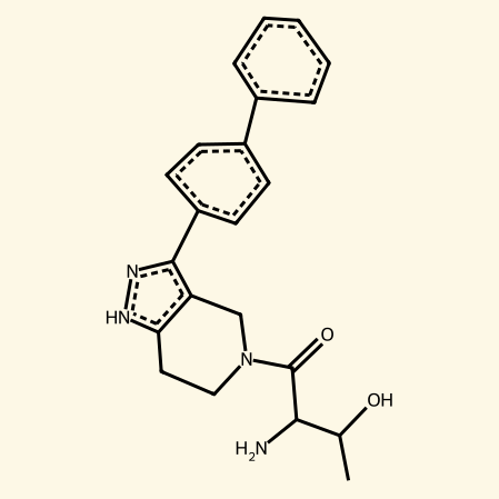 CC(O)C(N)C(=O)N1CCc2[nH]nc(-c3ccc(-c4ccccc4)cc3)c2C1